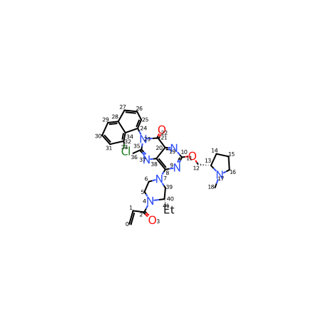 C=CC(=O)N1CCN(c2nc(OC[C@@H]3CCCN3C)nc3c(=O)n(-c4cccc5cccc(Cl)c45)c(C)nc23)C[C@@H]1CC